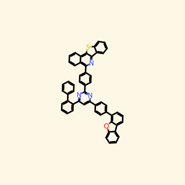 c1ccc(-c2ccccc2-c2cc(-c3ccc(-c4cccc5c4oc4ccccc45)cc3)nc(-c3ccc(-c4nc5c6ccccc6sc5c5ccccc45)cc3)n2)cc1